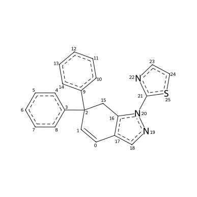 C1=CC(c2ccccc2)(c2ccccc2)Cc2c1cnn2-c1nccs1